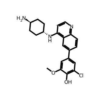 COc1cc(-c2ccc3nc[c]c(N[C@H]4CC[C@H](N)CC4)c3c2)cc(Cl)c1O